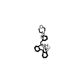 NC(Cc1cccc(N2CCOCC2)n1)c1ccccc1-c1noc2ccccc12